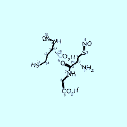 N[C@@H](CSN=O)C(=O)NCC(=O)O.O=NN[C@@H](CCS)C(=O)O